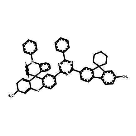 Cc1ccc2c(c1)C1(CCCCC1)c1cc(-c3nc(-c4ccccc4)nc(-c4ccc5c(c4)C4(C6=CCC(C)C=C6S5)c5ccccc5N(c5ccccc5)c5ccccc54)n3)ccc1-2